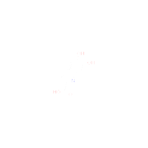 O=C(O)c1ccc2cc(O)c(O)cc2n1